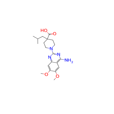 COc1cc2nc(N3CCC(CC(C)C)(C(=O)O)CC3)nc(N)c2cc1OC